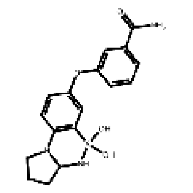 NC(=O)c1cccc(Oc2ccc3c(c2)S(O)(O)NC2CCCN32)c1